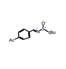 CC(=O)c1ccc(/C=N/[S+]([O-])C(C)(C)C)cc1